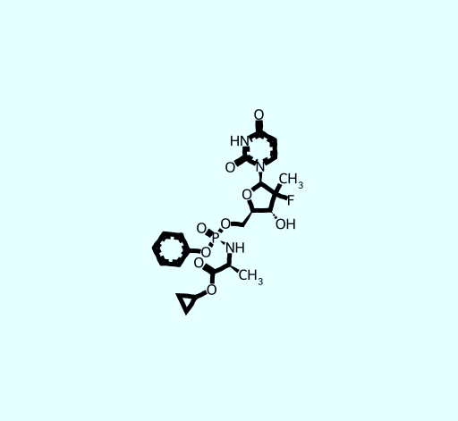 C[C@H](N[P@](=O)(OC[C@H]1O[C@@H](n2ccc(=O)[nH]c2=O)C(C)(F)[C@@H]1O)Oc1ccccc1)C(=O)OC1CC1